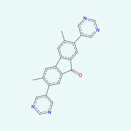 Cc1cc2c(cc1-c1cncnc1)C(=O)c1cc(-c3cncnc3)c(C)cc1-2